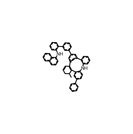 CC1CC=CC2=C1c1cc(-c3ccccc3)ccc1Nc1ccccc1-c1cc2cc(-c2cccc(-c3ccccc3Nc3cccc4ccccc34)c2)c1